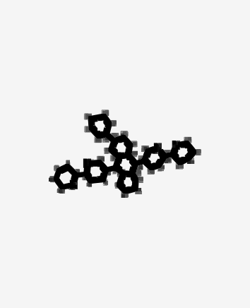 C1=CC(c2ccc(-c3c4ccccc4c(-c4ccc(-c5ccccn5)nc4)c4ccc(-c5ccccc5)cc34)cn2)=NCC1